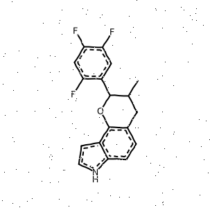 CC1Cc2ccc3[nH]ccc3c2OC1c1cc(F)c(F)cc1F